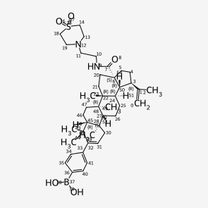 C=C(C)[C@@H]1CC[C@]2(C(=O)NCCN3CCS(=O)(=O)CC3)CC[C@]3(C)[C@H](CC[C@@H]4[C@@]5(C)CC=C(c6ccc(B(O)O)cc6)C(C)(C)[C@@H]5CC[C@]43C)[C@@H]12